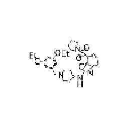 CCOc1cc(CN2CCC(Nc3nc4cccc(S(=O)(=O)N5CCCC5)c4o3)CC2)cc(OCC)c1